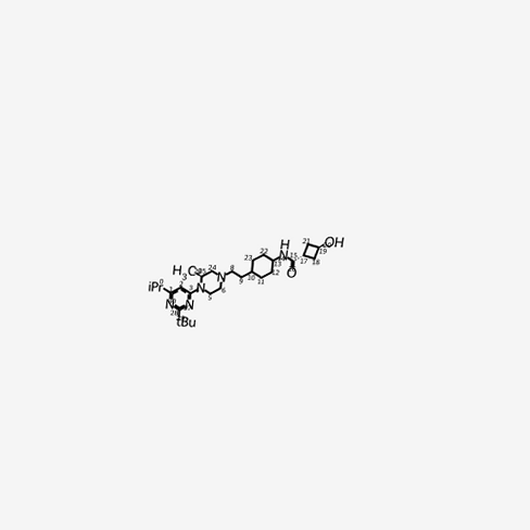 CC(C)c1cc(N2CCN(CCC3CCC(NC(=O)[C@H]4C[C@H](O)C4)CC3)C[C@@H]2C)nc(C(C)(C)C)n1